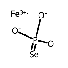 [Fe+3].[O-]P([O-])([O-])=[Se]